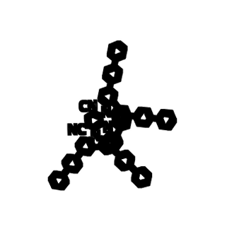 N#Cc1cc(C#N)c(-n2c3ccc(-c4ccc(-c5ccccc5)cc4)cc3c3cc(-c4ccc(-c5ccccc5)cc4)ccc32)c(-n2c3ccccc3c3ccccc32)c1-n1c2ccc(-c3ccc(-c4ccccc4)cc3)cc2c2cc(-c3ccc(-c4ccccc4)cc3)ccc21